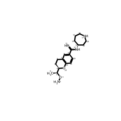 C[C@H](ON)[C@H]1CCc2cc(C(=N)N[C@@H]3CCCNCC3)ccc2O1